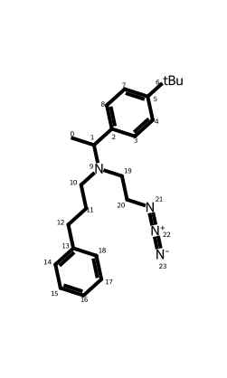 CC(c1ccc(C(C)(C)C)cc1)N(CCCc1ccccc1)CCN=[N+]=[N-]